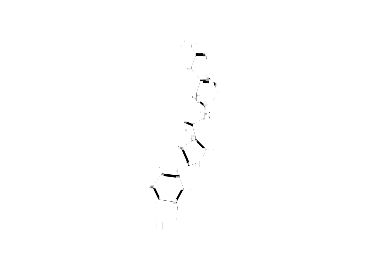 COc1cccc(-c2cc(C(=O)Nc3nc(CC(C)=O)ns3)cs2)c1